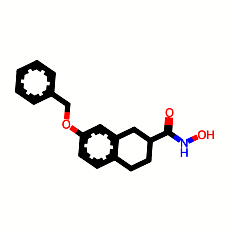 O=C(NO)C1CCc2ccc(OCc3ccccc3)cc2C1